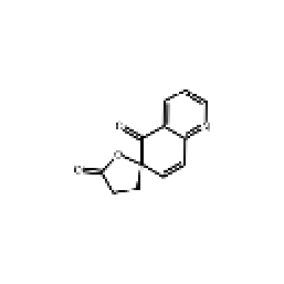 O=C1CC[C@@]2(C=Cc3ncccc3C2=O)O1